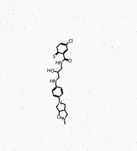 CN1CC2CN(c3ccc(NCC(O)CNC(=O)C4=CC(Cl)=CCC4=S)cc3)CC2O1